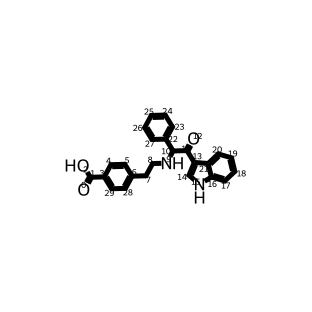 O=C(O)c1ccc(CCNC(C(=O)c2c[nH]c3ccccc23)c2ccccc2)cc1